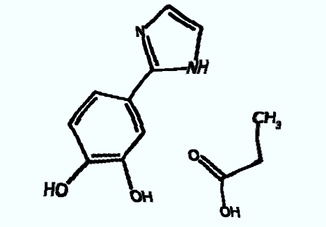 CCC(=O)O.Oc1ccc(-c2ncc[nH]2)cc1O